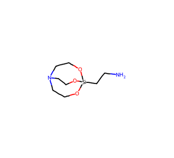 NCC[Si]12OCCN(CCO1)CCO2